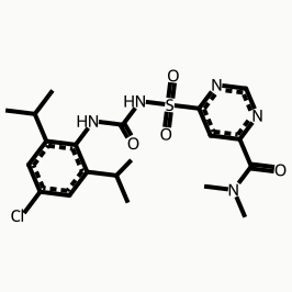 CC(C)c1cc(Cl)cc(C(C)C)c1NC(=O)NS(=O)(=O)c1cc(C(=O)N(C)C)ncn1